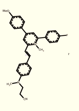 COc1ccc(-c2cc(/C=C/c3ccc(N(C)CCC#N)cc3)[n+](C)c(-c3ccc(F)cc3)c2)cc1.[I-]